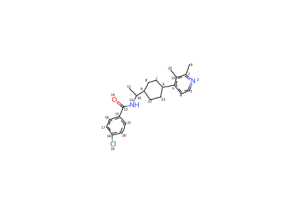 Cc1nccc(C2CCC(C(C)NC(=O)c3ccc(Cl)cc3)CC2)c1C